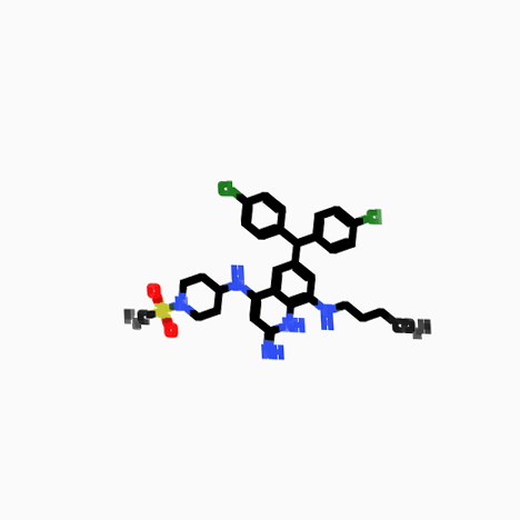 N=c1cc(NC2CCN(S(=O)(=O)C(F)(F)F)CC2)c2cc(C(c3ccc(Cl)cc3)c3ccc(Cl)cc3)cc(NCCCC(=O)O)c2[nH]1